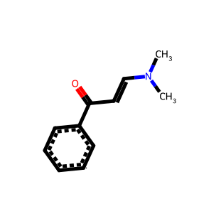 CN(C)C=CC(=O)c1c[c]ccc1